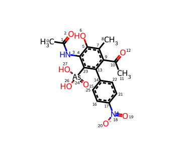 CC(=O)Nc1c(O)c(C)c(C(C)=O)c(-c2ccc([N+](=O)[O-])cc2)c1[As](=O)(O)O